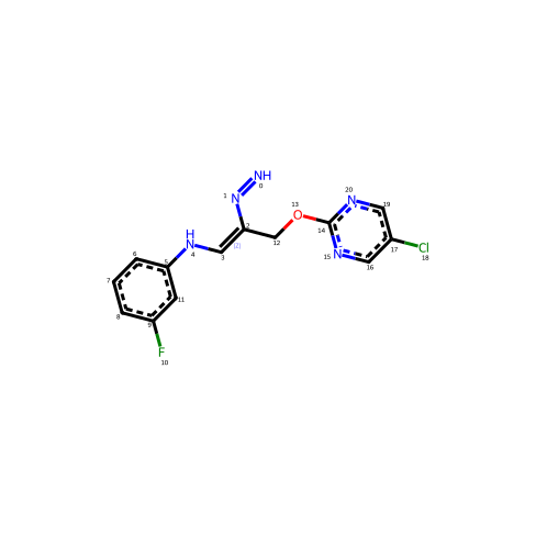 N=N/C(=C\Nc1cccc(F)c1)COc1ncc(Cl)cn1